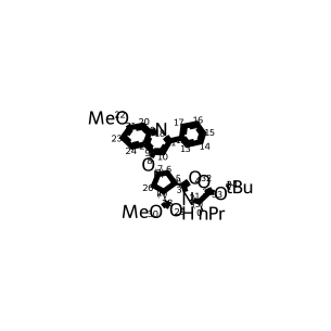 CCC[C@H](NC(=O)[C@@H]1C[C@@H](Oc2cc(-c3ccccc3)nc3cc(OC)ccc23)C[C@H]1C(=O)OC)C(=O)OC(C)(C)C